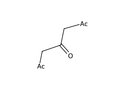 CC(=O)CC(=O)CC(C)=O